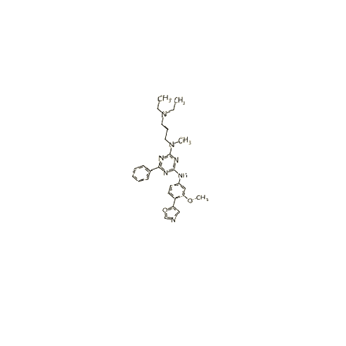 CCN(CC)CCCN(C)c1nc(Nc2ccc(-c3cnco3)c(OC)c2)nc(-c2ccccc2)n1